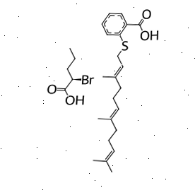 CC(C)=CCC/C(C)=C/CC/C(C)=C/CSc1ccccc1C(=O)O.CCC[C@@H](Br)C(=O)O